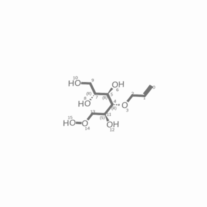 C=CCO[C@@H]([C@H](O)[C@H](O)CO)[C@@H](O)COO